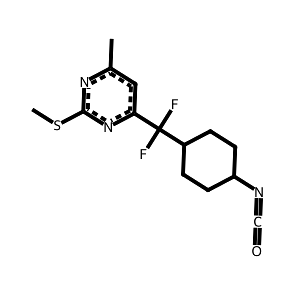 CSc1nc(C)cc(C(F)(F)C2CCC(N=C=O)CC2)n1